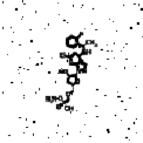 C[C@H](Nc1cc(Cl)nc2c1cnn2[C@@H]1O[C@H](COCP(=O)(O)ON)C[C@H]1O)c1ccccc1F